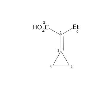 CCC(C(=O)O)=C1CC1